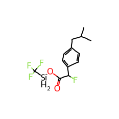 CC(C)Cc1ccc(C(F)C(=O)O[SiH2]C(F)(F)F)cc1